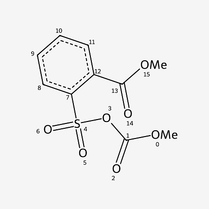 COC(=O)OS(=O)(=O)c1ccccc1C(=O)OC